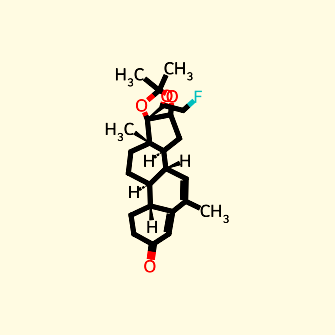 CC1=C[C@@H]2[C@H](CC[C@@]3(C)[C@H]2CC2OC(C)(C)O[C@]23C(=O)CF)[C@H]2CCC(=O)C=C12